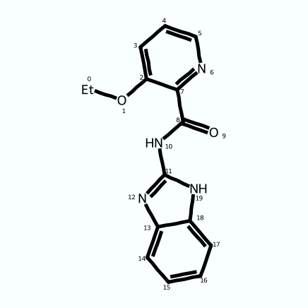 CCOc1cccnc1C(=O)Nc1nc2ccccc2[nH]1